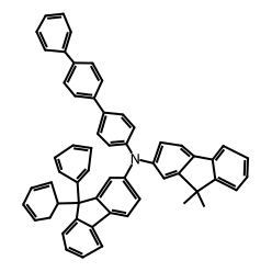 CC1(C)c2ccccc2-c2ccc(N(c3ccc(-c4ccc(-c5ccccc5)cc4)cc3)c3ccc4c(c3)C(c3ccccc3)(C3C=CC=CC3)c3ccccc3-4)cc21